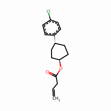 C=CCC(=O)O[C@H]1CC[C@H](c2ccc(Cl)cc2)CC1